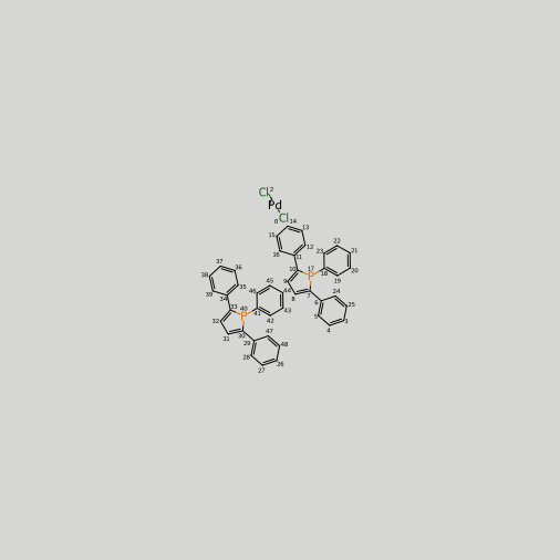 [Cl][Pd][Cl].c1ccc(-c2ccc(-c3ccccc3)p2-c2ccccc2)cc1.c1ccc(-c2ccc(-c3ccccc3)p2-c2ccccc2)cc1